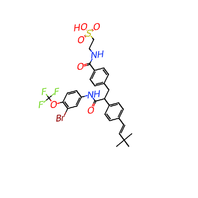 CC(C)(C)/C=C/c1ccc(C(Cc2ccc(C(=O)NCCS(=O)(=O)O)cc2)C(=O)Nc2ccc(OC(F)(F)F)c(Br)c2)cc1